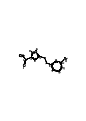 O=NC(=O)c1cc(CCc2cccc(Br)c2)on1